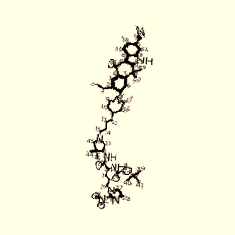 CCc1cc2c(cc1N1CCC(CCCCN3C[C@H](NC(=O)[C@H](CCCn4ccnc4[N+](=O)[O-])NC(=O)OC(C)(C)C)C(C)(C)C3)CC1)C(C)(C)c1[nH]c3cc(C#N)ccc3c1C2=O